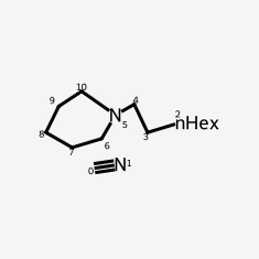 C#N.CCCCCCCCN1CCCCC1